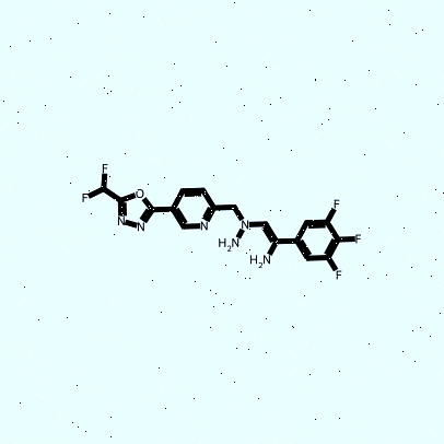 N/C(=C\N(N)Cc1ccc(-c2nnc(C(F)F)o2)cn1)c1cc(F)c(F)c(F)c1